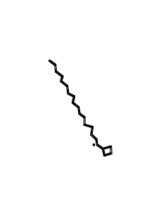 CCCCCCCCCCCCCCCC[CH]C1CCC1